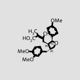 COc1ccc([C@H]2OC[C@H](Cc3ccc(OC)c(OC)c3)[C@H]2CC(C)=C(C)C(=O)O)cc1